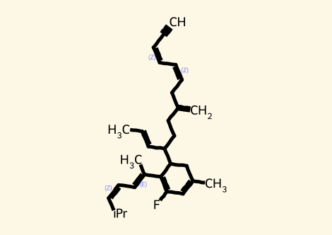 C#C/C=C\C=C/CC(=C)CCC(C=CC)C1CC(C)=CC(F)=C1/C(C)=C/C=C\C(C)C